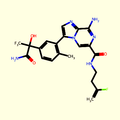 C=C(F)CCNC(=O)c1cn2c(-c3cc(C(O)(C(N)=O)C(F)(F)F)ccc3C)cnc2c(N)n1